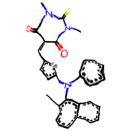 Cc1ccc2ccccc2c1N(c1ccccc1)c1ccc(C=C2C(=O)N(C)C(=S)N(C)C2=O)[se]1